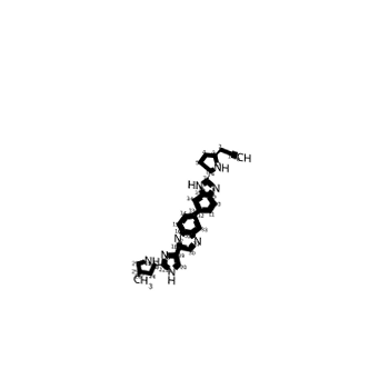 C#CC[C@@H]1CC[C@@H](c2nc3ccc(-c4ccc5nc(-c6c[nH]c([C@@H]7C[C@@H](C)CN7)n6)cnc5c4)cc3[nH]2)N1